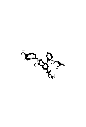 CC(C)(O)c1cc2c(c(-c3ccccc3OCC(F)F)n1)CN(c1ccc(F)cc1)C2=O